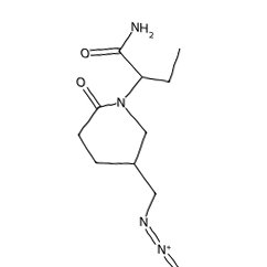 CCC(C(N)=O)N1CC(CN=[N+]=[N-])CCC1=O